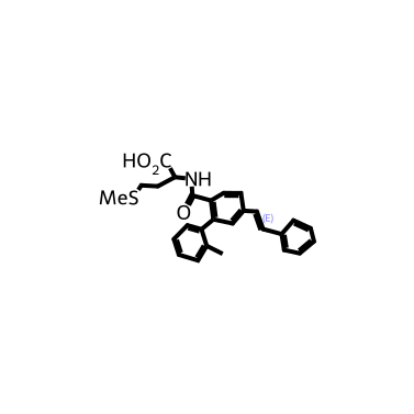 CSCCC(NC(=O)c1ccc(/C=C/c2ccccc2)cc1-c1ccccc1C)C(=O)O